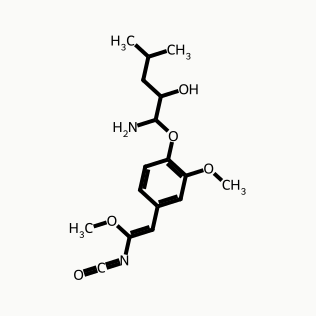 COC(=Cc1ccc(OC(N)C(O)CC(C)C)c(OC)c1)N=C=O